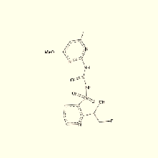 COc1cc(C)nc(NC(=O)NS(=O)(=O)c2cccnc2C(O)CF)n1